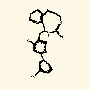 Cc1cc(-c2cccc(C#N)c2)ccc1CC1C2=C(CCC=C2)CCC/N=C(/N)N1C